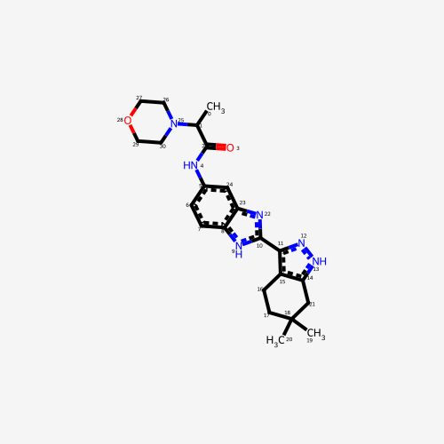 CC(C(=O)Nc1ccc2[nH]c(-c3n[nH]c4c3CCC(C)(C)C4)nc2c1)N1CCOCC1